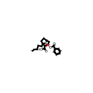 CCCCCC12CCC(C[C@H](OC(=O)c3ccccc3)C1C(=O)O)N2C